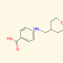 O=C(O)c1ccc(NCC2CCOCC2)cc1